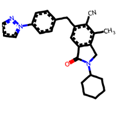 Cc1c(C#N)c(Cc2ccc(-n3cccn3)cc2)cc2c1CN(C1CCCCC1)C2=O